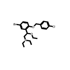 CCOC(CN(CC)CC)c1cc(Br)ccc1OCc1ccc(Cl)cc1